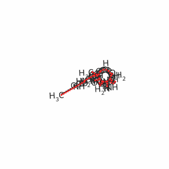 CCCCCCCCCCCCCC(=O)NCCOCCOCC(=O)NCCOCCOCC(=O)N[C@@H](CCCC)C(=O)N[C@H]1CCC(=O)CCCCNCCCC[C@@H](C(N)=O)NC(=O)[C@H](Cc2c[nH]c3ccccc23)NC(=O)[C@H](CCCNC(=N)N)NC(=O)[C@@H](Cc2ccccc2)NC(=O)[C@H](CCCNC(N)=O)NC1=O